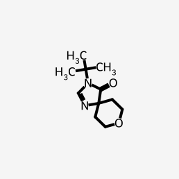 CC(C)(C)N1C=NC2(CCOCC2)C1=O